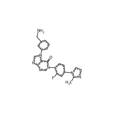 Cc1nccn1-c1ccc(-n2cnc3ncn(-c4cccc(CN)c4)c3c2=O)c(F)c1